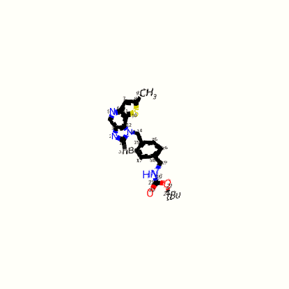 CCCCc1nc2cnc3cc(C)sc3c2n1Cc1ccc(CNC(=O)OC(C)(C)C)cc1